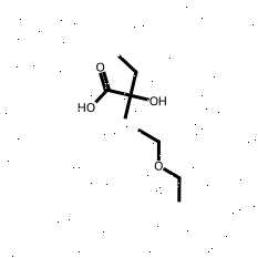 CCC(C)(O)C(=O)O.CCOCC